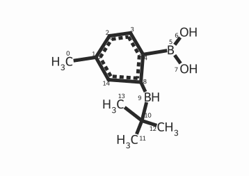 Cc1ccc(B(O)O)c(BC(C)(C)C)c1